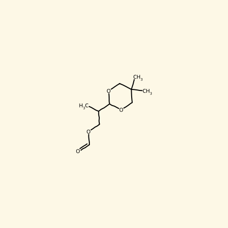 CC(COC=O)C1OCC(C)(C)CO1